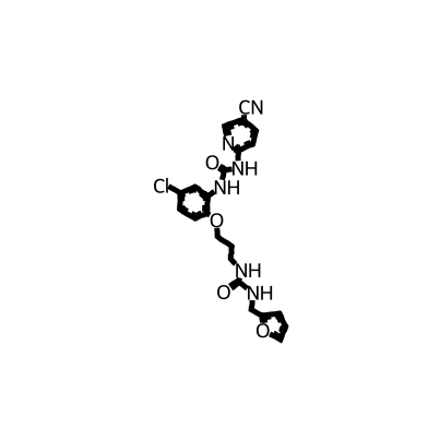 N#Cc1ccc(NC(=O)Nc2cc(Cl)ccc2OCCCNC(=O)NCc2ccco2)nc1